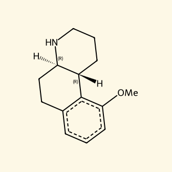 COc1cccc2c1[C@H]1CCCN[C@@H]1CC2